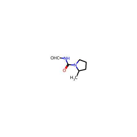 CC1CCCN1C(=O)NC=O